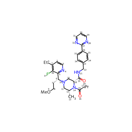 CCc1ccnc([C@@H](CCOC)N2C[C@@H](C)N(C(=O)C(C)C)[C@@H](C(=O)NCc3ccc(-c4ncccn4)cc3)C2)c1F